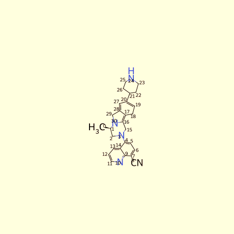 C[C@@H]1CN(c2ccc(C#N)c3ncccc23)CC2=C3CC=C(C4CCNCC4)C=C3CN21